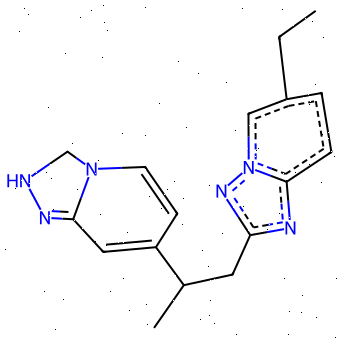 CCc1ccc2nc(CC(C)C3=CC4=NNCN4C=C3)nn2c1